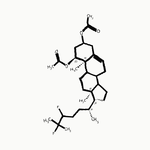 CC(=O)OC1CC2=CCC3C4CC[C@H]([C@H](C)CCC(F)C(C)(C)F)[C@@]4(C)CCC3[C@@]2(C)[C@@H](OC(C)=O)C1